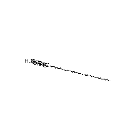 CCCCCCCCCCCCCCCCCCCCCCCCCCCCCCCCCCCCCCOOOOOOOOOOO